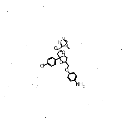 Cn1cnnc1S(=O)(=O)CC1(c2ccc(Cl)cc2)OCC(COc2ccc(N)cc2)O1